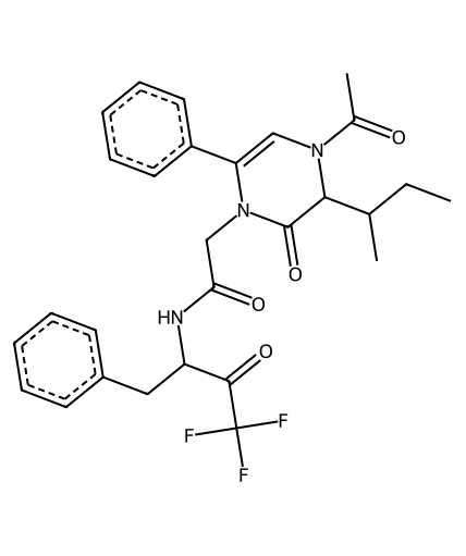 CCC(C)C1C(=O)N(CC(=O)NC(Cc2ccccc2)C(=O)C(F)(F)F)C(c2ccccc2)=CN1C(C)=O